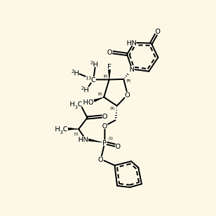 [2H][13C]([2H])([2H])[C@@]1(F)[C@H](O)[C@@H](CO[P@@](=O)(N[C@@H](C)C(C)=O)Oc2ccccc2)O[C@H]1n1ccc(=O)[nH]c1=O